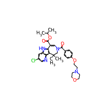 CC(C)OC(=O)C1=CN(C(=O)c2ccc(OCCN3CCOCC3)cc2)CC(C)(C)c2c1[nH]c1cc(Cl)cnc21